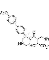 COc1ccc(-c2ccc([C@]3(C)CNCCN3C(=O)[C@@H](CC(C)C)[C@H](O)C(=O)O)cc2)cc1